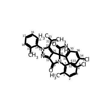 Cc1ccc(Cl)cc1N1C(=O)c2nn(-c3ccccc3C)c(C(C)C)c2C12C(=O)NC1=C2CCC(Cl)=C1